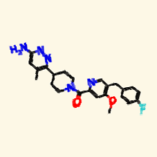 COc1cc(C(=O)N2CCC(c3nnc(N)cc3C)CC2)ncc1Cc1ccc(F)cc1